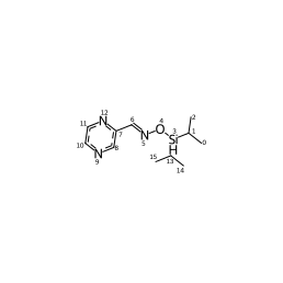 CC(C)[SiH](ON=Cc1cnccn1)C(C)C